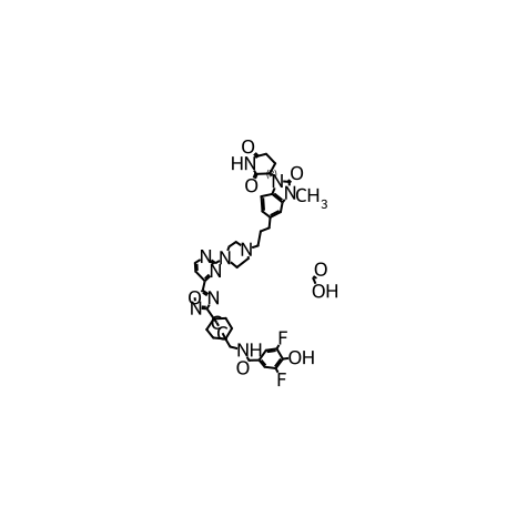 Cn1c(=O)n([C@@H]2CCC(=O)NC2=O)c2ccc(CCCN3CCN(c4nccc(-c5nc(C67CCC(CNC(=O)c8cc(F)c(O)c(F)c8)(CC6)CC7)no5)n4)CC3)cc21.O=CO